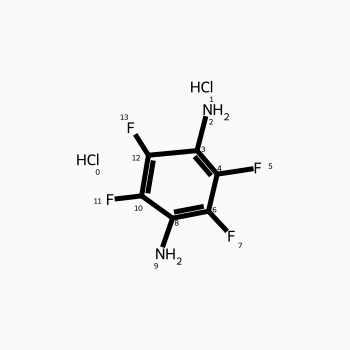 Cl.Cl.Nc1c(F)c(F)c(N)c(F)c1F